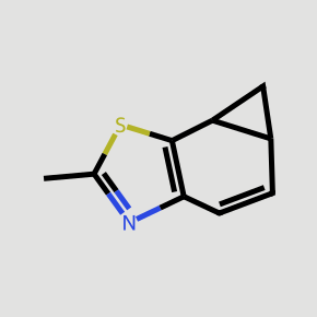 Cc1nc2c(s1)C1CC1C=C2